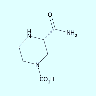 NC(=O)[C@@H]1CN(C(=O)O)CCN1